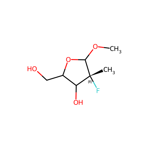 COC1OC(CO)C(O)[C@@]1(C)F